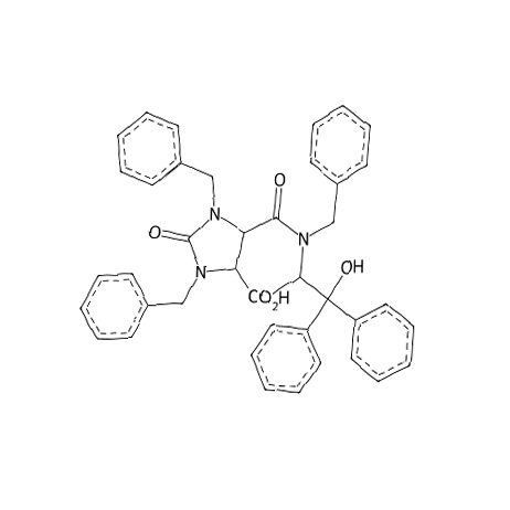 CC(N(Cc1ccccc1)C(=O)C1C(C(=O)O)N(Cc2ccccc2)C(=O)N1Cc1ccccc1)C(O)(c1ccccc1)c1ccccc1